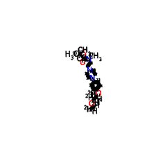 [2H]C([2H])([2H])OC([2H])([2H])C([2H])([2H])Oc1ccc(N2CCN(CCN(C)C(=O)OC(C)(C)C)CC2)cc1